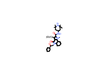 COc1c(C(=O)NC2CC(C)(C)NC(C)(C)C2)n(C)c2c1c(=O)n(CC(=O)c1ccccc1)c1ccccc21